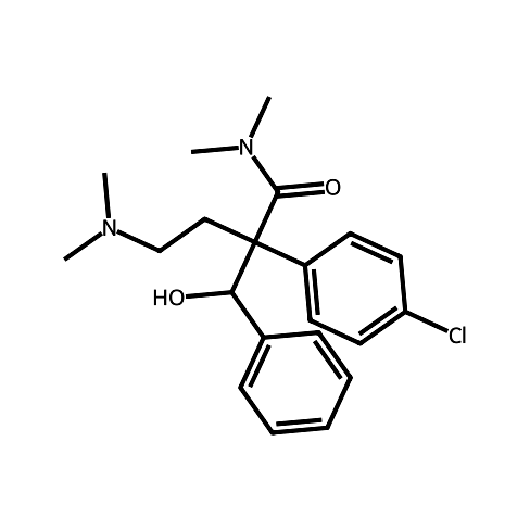 CN(C)CCC(C(=O)N(C)C)(c1ccc(Cl)cc1)C(O)c1ccccc1